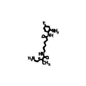 C=C(S/C=C\N)C(=O)NCCCCCC(=O)Nc1ccc(F)cc1N